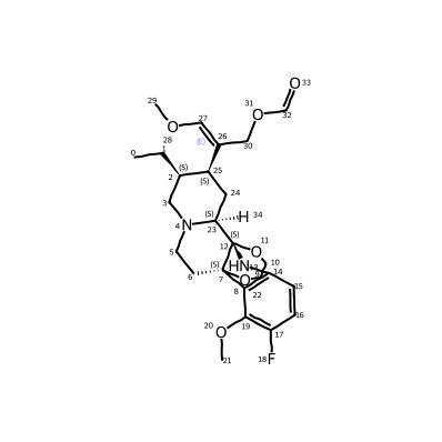 CC[C@@H]1CN2CC[C@@]34OCCO[C@@]3(Nc3ccc(F)c(OC)c34)[C@@H]2C[C@@H]1/C(=C\OC)COC=O